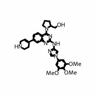 COc1cc(-n2cnc(Nc3nc(N4CCCC4CO)c4ccc(C5=CCNCC5)cc4n3)c2)cc(OC)c1OC